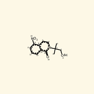 CC(=O)OCC(C)(C)n1ccc2c([N+](=O)[O-])cccc2c1=O